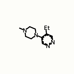 CCc1cnncc1N1CCN(C)CC1